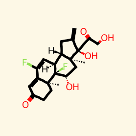 C=C1C[C@H]2[C@@H]3C=C(F)C4=CC(=O)CC[C@]4(C)[C@@]3(F)[C@@H](O)C[C@]2(C)[C@@]1(O)C(=O)CO